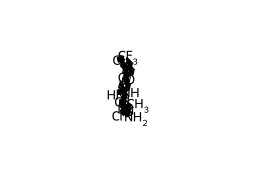 Cc1nc(N)c(Cl)nc1C(=O)/N=C1\NCC2(CCN(S(=O)(=O)c3ccc4c(c3)CN(C(=O)C(F)(F)F)CC4)CC2)N1